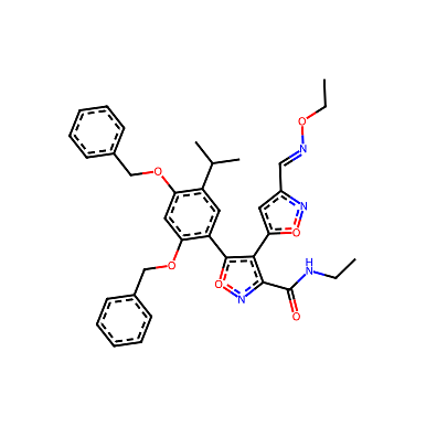 CCNC(=O)c1noc(-c2cc(C(C)C)c(OCc3ccccc3)cc2OCc2ccccc2)c1-c1cc(C=NOCC)no1